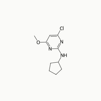 COc1cc(Cl)nc(NC2CCCC2)n1